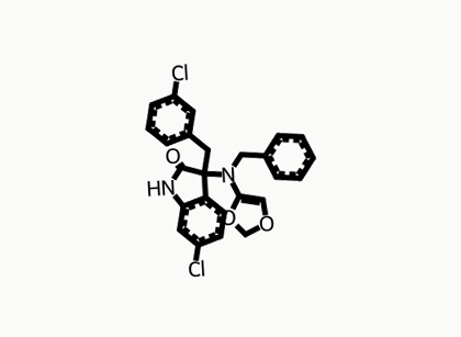 O=C1Nc2cc(Cl)ccc2C1(Cc1cccc(Cl)c1)N(Cc1ccccc1)C1=COCO1